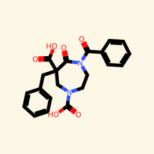 O=C(O)N1CCN(C(=O)c2ccccc2)C(=O)C(Cc2ccccc2)(C(=O)O)C1